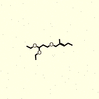 CC/C=C(\C)COCCC(OCC)OCC